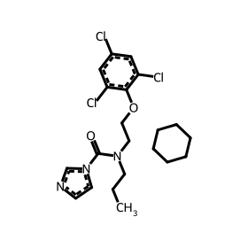 C1CCCCC1.CCCN(CCOc1c(Cl)cc(Cl)cc1Cl)C(=O)n1ccnc1